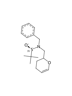 CC(C)(C)[S@@+]([O-])N(Cc1ccccc1)CC1CCC=CO1